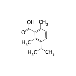 Cc1ccc(C(C)C)c(C)c1C(=O)O